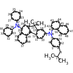 CC(C)Cc1ccc(N(c2ccc3c(c2)C(C)(C)c2cc(N(c4ccccc4)c4ccccc4)c4ccccc4c2-3)c2cccc3ccccc23)cc1